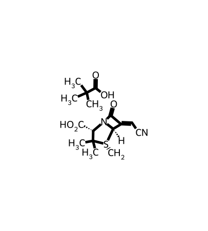 C=S1[C@@H]2/C(=C\C#N)C(=O)N2[C@@H](C(=O)O)C1(C)C.CC(C)(C)C(=O)O